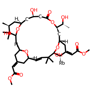 COC(=O)/C=C1/C[C@H]2C[C@]3(O)O[C@H](C[C@@H](O)CC(=O)O[C@@H]([C@@H](C)O)C[C@@H]4C/C(=C\C(=O)OC)[C@H]([Rb])[C@@](O)(O4)C(C)(C)/C=C/[C@@H](C1)O2)C[C@H](C)C3(C)C